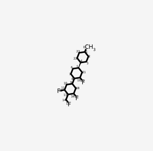 CC1CCC([C@@H]2CCC(C3CC(F)C(CF)C(F)C3)C(F)C2)CC1